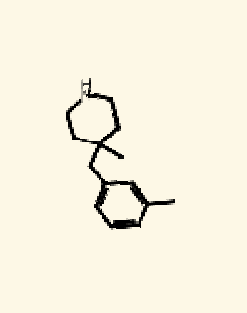 Cc1cccc(CC2(C)CCNCC2)c1